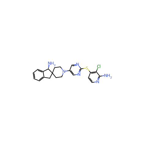 Nc1nccc(Sc2ncc(N3CCC4(CC3)Cc3ccccc3[C@H]4N)cn2)c1Cl